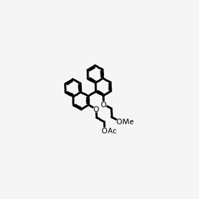 COCCOc1ccc2ccccc2c1-c1c(OCCOC(C)=O)ccc2ccccc12